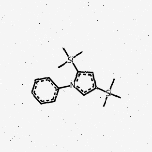 C[Si](C)(C)c1cc([Si](C)(C)C)n(-c2ccccc2)c1